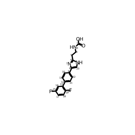 O=C(O)NCCc1nc(-c2ccc(-c3cc(F)ccc3F)cc2)c[nH]1